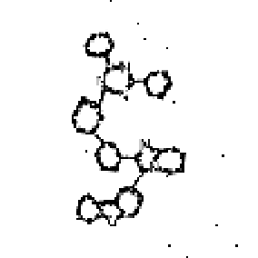 c1ccc(-c2nc(-c3ccccc3)nc(-c3cccc(-c4cccc(-c5nc6ccccn6c5-c5ccc6oc7ccccc7c6c5)c4)c3)n2)cc1